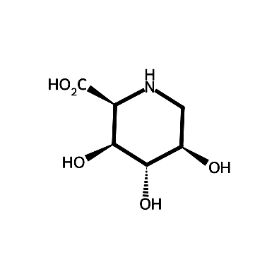 O=C(O)[C@H]1NC[C@@H](O)[C@H](O)[C@H]1O